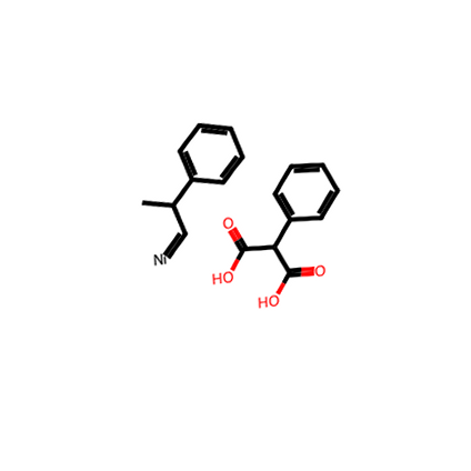 CC([CH]=[Ni])c1ccccc1.O=C(O)C(C(=O)O)c1ccccc1